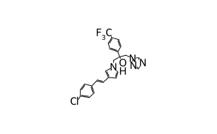 OC(Cn1ccc(C=Cc2ccc(Cl)cc2)c1)(Cn1cncn1)c1ccc(C(F)(F)F)cc1